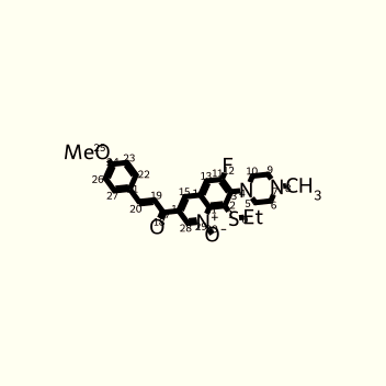 CCSc1c(N2CCN(C)CC2)c(F)cc2cc(C(=O)C=Cc3ccc(OC)cc3)c[n+]([O-])c12